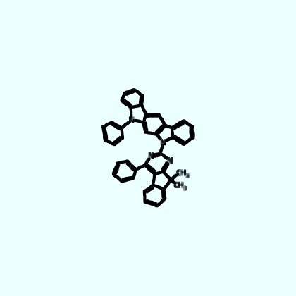 CC1(C)c2ccccc2-c2c(-c3ccccc3)nc(-n3c4ccccc4c4cc5c6ccccc6n(-c6ccccc6)c5cc43)nc21